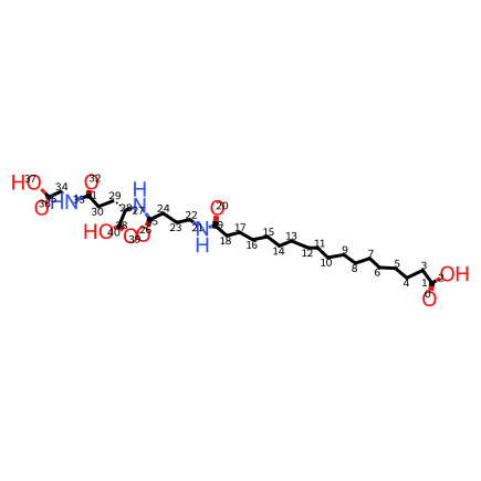 O=C(O)CCCCCCCCCCCCCCCCC(=O)NCCCC(=O)N[C@@H](CCC(=O)NCC(=O)O)C(=O)O